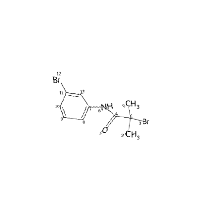 CC(C)(Br)C(=O)Nc1cccc(Br)c1